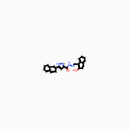 O=C(NN=Cc1c(O)ccc2ccccc12)c1cc(-c2ccc3ccccc3c2)[nH]n1